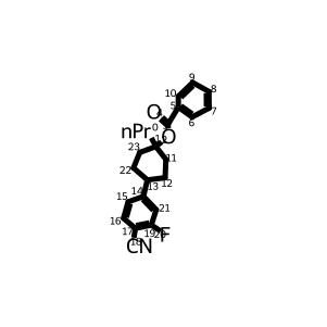 CCCC1(OC(=O)c2ccccc2)CCC(c2ccc(C#N)c(F)c2)CC1